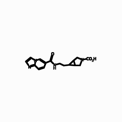 O=C(NCCC1C2CN(C(=O)O)CC12)c1ccc2nccn2c1